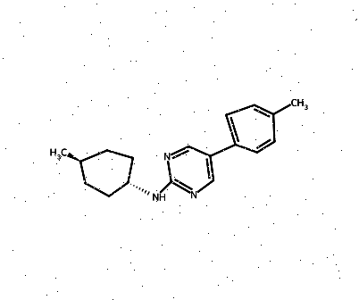 Cc1ccc(-c2cnc(N[C@H]3CC[C@H](C)CC3)nc2)cc1